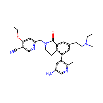 CCOc1cc(CN2CCc3c(cc(CCN(C)CC)cc3-c3cc(N)cnc3C)C2=O)ncc1C#N